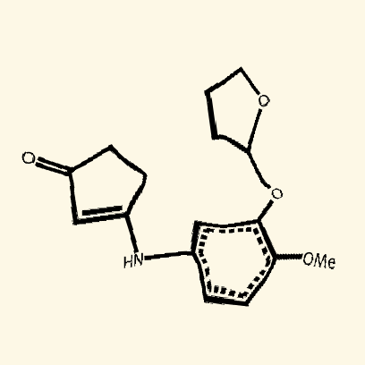 COc1ccc(NC2=CC(=O)CC2)cc1OC1CCCO1